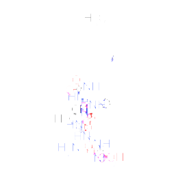 CCCCCCCCC/C=C\CCCCCCCNc1c(NCC(=O)NC(Cc2ccccc2)C(=O)NC(C(=O)N[C@@H](CCCN)C(=O)NCC(=O)N[C@@H](CC(=O)O)C(N)=O)C(C)C)c(=O)c1=O